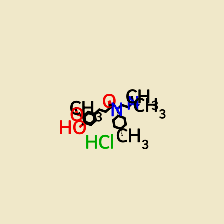 COc1cc(CCC(=O)N(CCN(C)C)[C@H]2CC[C@@H](C)CC2)ccc1O.Cl